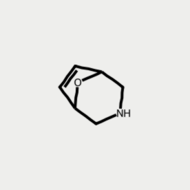 C1=CC2CNCC1O2